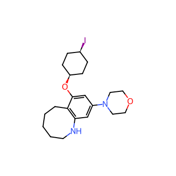 I[C@H]1CC[C@@H](Oc2cc(N3CCOCC3)cc3c2CCCCCN3)CC1